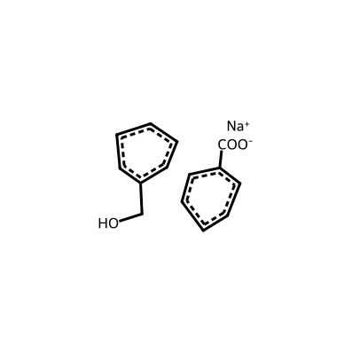 O=C([O-])c1ccccc1.OCc1ccccc1.[Na+]